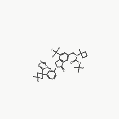 Cn1cnnc1C1(c2cccc(N3Cc4c(cc(CN(C(=O)OC(C)(C)C)C5(C)CCC5)cc4C(F)(F)F)C3=O)c2)CC(C)(C)C1